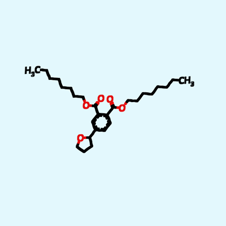 CCCCCCCCOC(=O)c1ccc(C2CCCO2)cc1C(=O)OCCCCCCCC